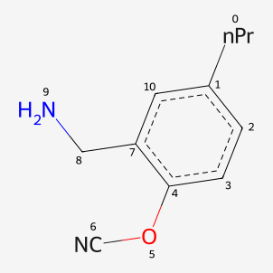 CCCc1ccc(OC#N)c(CN)c1